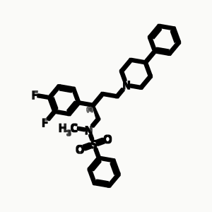 CN(C[C@H](CCN1CCC(c2ccccc2)CC1)c1ccc(F)c(F)c1)S(=O)(=O)c1ccccc1